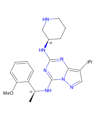 COc1ccccc1[C@H](C)Nc1nc(N[C@@H]2CCCNC2)nc2c(C(C)C)cnn12